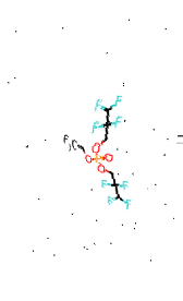 O=P(OCC(F)(F)F)(OCC(F)(F)C(F)F)OCC(F)(F)C(F)F